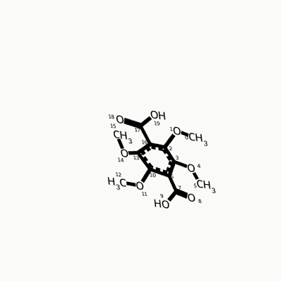 COc1c(OC)c(C(=O)O)c(OC)c(OC)c1C(=O)O